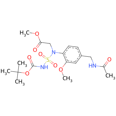 COC(=O)CN(c1ccc(CNC(C)=O)cc1OC)S(=O)(=O)NC(=O)OC(C)(C)C